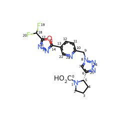 O=C(O)N1CCC[C@H]1c1cn(Cc2ccc(-c3nnc(C(F)F)o3)cn2)nn1